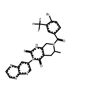 CC1Cc2c([nH]c(=S)n(-c3cnc4nccnc4c3)c2=O)CN1C(=O)c1ccc(Br)c(C(F)(F)F)c1